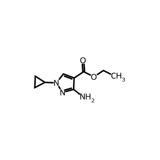 CCOC(=O)c1cn(C2CC2)nc1N